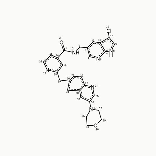 O=C(NCc1cnc2[nH]cc(Cl)c2c1)c1ccnc(Cc2ccc3ncc(N4CCOCC4)cc3c2)c1